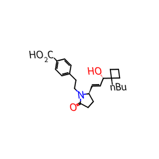 CCCCC1([C@@H](O)C=C[C@H]2CCC(=O)N2CCc2ccc(C(=O)O)cc2)CCC1